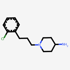 NC1CCN(CCCc2ccccc2Cl)CC1